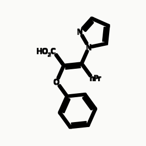 CCCC(=C(Oc1ccccc1)C(=O)O)n1cccn1